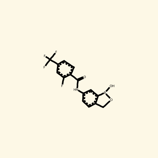 O=C(Nc1ccc2c(c1)B(O)OC2)c1ccc(C(F)(F)F)cc1F